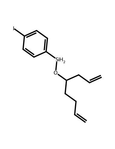 C=CCCC(CC=C)O[SiH2]c1ccc(I)cc1